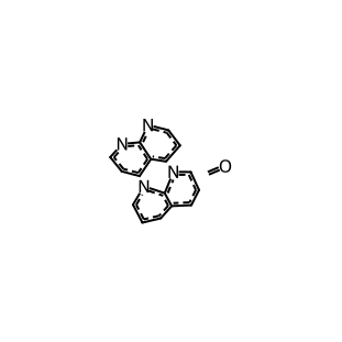 C=O.c1cnc2ncccc2c1.c1cnc2ncccc2c1